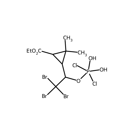 CCOC(=O)C1C(C(OP(O)(O)(Cl)Cl)C(Br)(Br)Br)C1(C)C